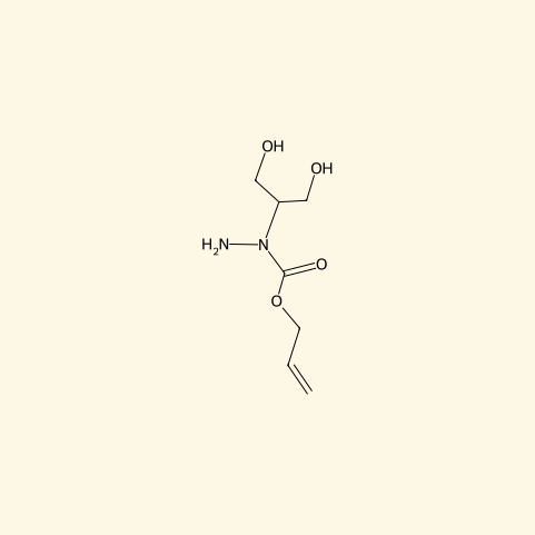 C=CCOC(=O)N(N)C(CO)CO